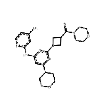 O=C(C1CN(c2nc(Nc3cc(C(F)(F)F)ccn3)cc(C3CCOCC3)n2)C1)N1CCOCC1